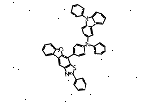 c1ccc(-c2nc3cc4c(oc5ccccc54)c(-c4ccc(N(c5ccccc5)c5ccc6c(c5)c5ccccc5n6-c5ccccc5)cc4)c3s2)cc1